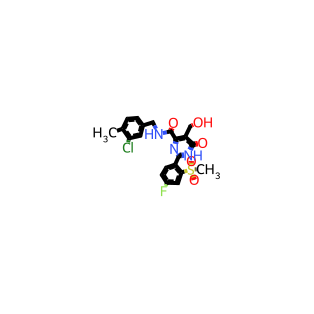 Cc1ccc(CNC(=O)c2nc(-c3ccc(F)cc3S(C)(=O)=O)[nH]c(=O)c2CO)cc1Cl